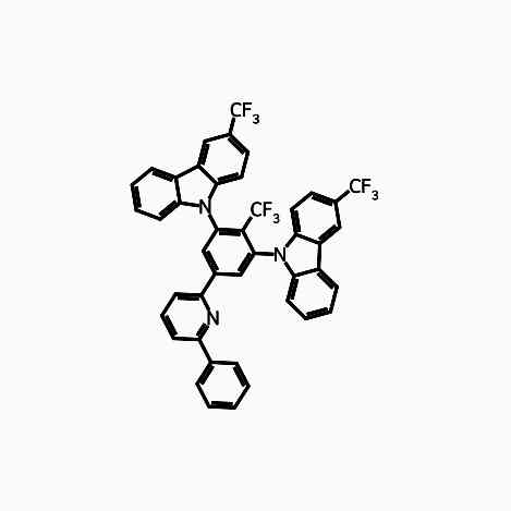 FC(F)(F)c1ccc2c(c1)c1ccccc1n2-c1cc(-c2cccc(-c3ccccc3)n2)cc(-n2c3ccccc3c3cc(C(F)(F)F)ccc32)c1C(F)(F)F